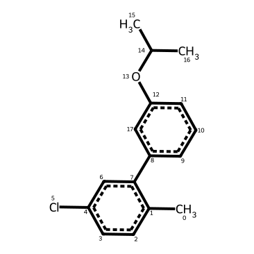 Cc1ccc(Cl)cc1-c1cccc(OC(C)C)c1